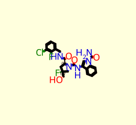 NC(=O)n1cc(NC(=O)N2C[C@](F)(CO)C[C@H]2C(=O)NCc2cccc(Cl)c2F)c2ccccc21